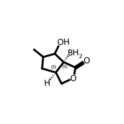 B[C@]12C(=O)OC[C@H]1CC(C)C2O